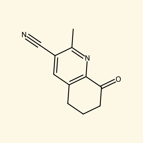 Cc1nc2c(cc1C#N)CCCC2=O